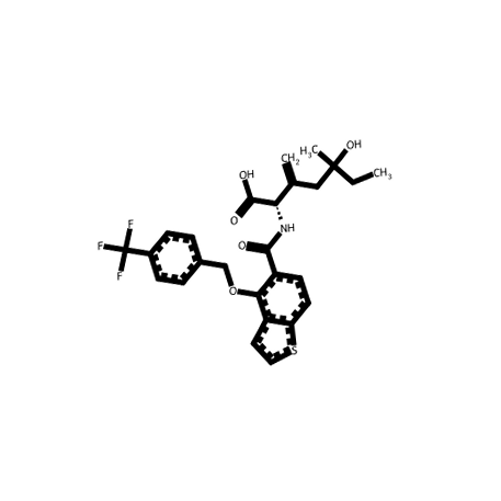 C=C(CC(C)(O)CC)[C@H](NC(=O)c1ccc2sccc2c1OCc1ccc(C(F)(F)F)cc1)C(=O)O